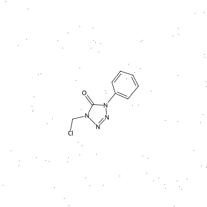 O=c1n(CCl)nnn1-c1ccccc1